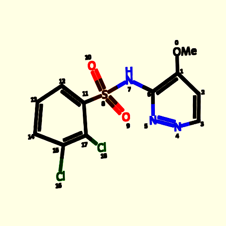 COc1ccnnc1NS(=O)(=O)c1cccc(Cl)c1Cl